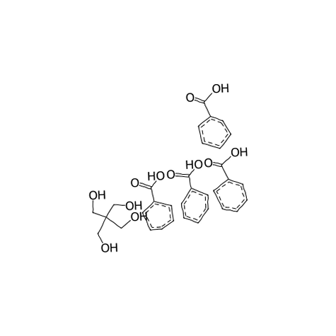 O=C(O)c1ccccc1.O=C(O)c1ccccc1.O=C(O)c1ccccc1.O=C(O)c1ccccc1.OCC(CO)(CO)CO